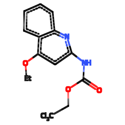 CCOc1cc(NC(=O)OCC(Cl)(Cl)Cl)nc2ccccc12